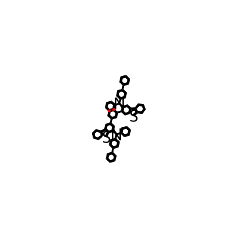 c1ccc(-c2ccc(N(c3ccccc3)c3cc4c(cc3-c3cccc(-c5cc(N(c6ccccc6)c6ccc(-c7ccccc7)cc6)c6sc7ccccc7c6c5)c3)sc3ccccc34)cc2)cc1